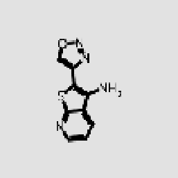 Nc1c(-c2conn2)sc2ncccc12